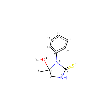 COC1(C)CNC(=S)N1c1ccccc1